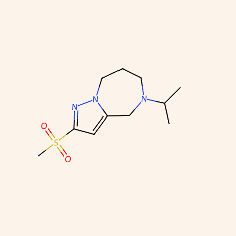 CC(C)N1CCCn2nc(S(C)(=O)=O)cc2C1